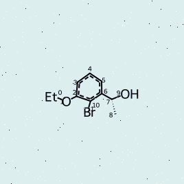 CCOc1cccc([C@@H](C)O)c1Br